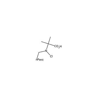 CCCCCCN(Cl)C(C)(C)C(=O)O